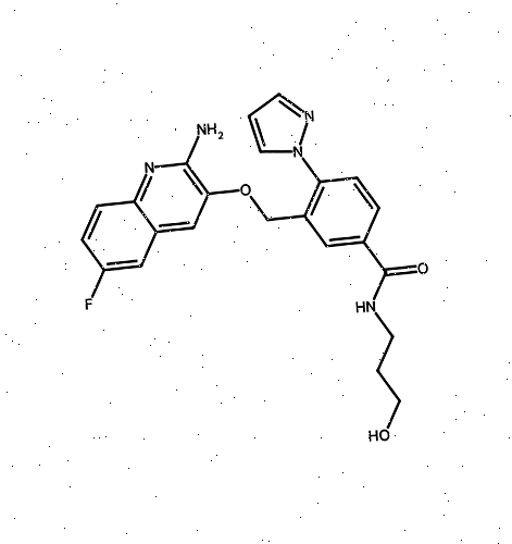 Nc1nc2ccc(F)cc2cc1OCc1cc(C(=O)NCCCO)ccc1-n1cccn1